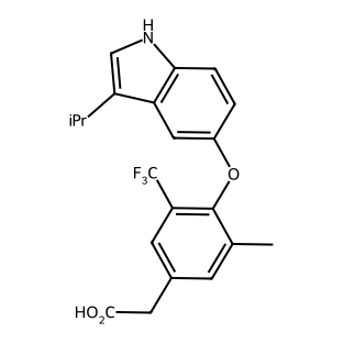 Cc1cc(CC(=O)O)cc(C(F)(F)F)c1Oc1ccc2[nH]cc(C(C)C)c2c1